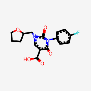 O=C(O)c1cn(CC2CCCO2)c(=O)n(-c2ccc(F)cc2)c1=O